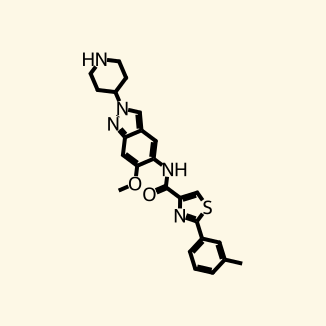 COc1cc2nn(C3CCNCC3)cc2cc1NC(=O)c1csc(-c2cccc(C)c2)n1